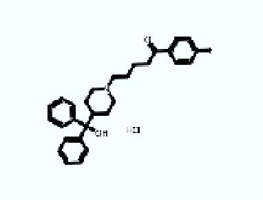 Cl.O=C(CCCCN1CCC(C(O)(c2ccccc2)c2ccccc2)CC1)c1ccc(F)cc1